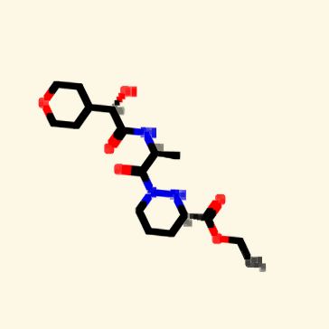 C[C@H](NC(=O)[C@@H](O)C1CCOCC1)C(=O)N1CCC[C@@H](C(=O)OCC(Cl)(Cl)Cl)N1